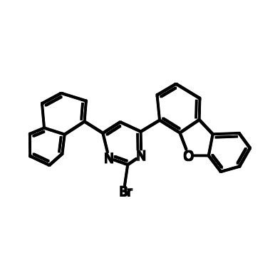 Brc1nc(-c2cccc3ccccc23)cc(-c2cccc3c2oc2ccccc23)n1